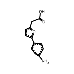 Nc1ccc(-c2ccc(CC(=O)O)o2)cc1